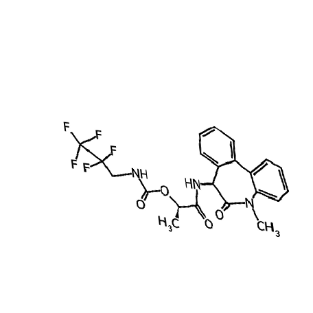 C[C@@H](OC(=O)NCC(F)(F)C(F)(F)F)C(=O)NC1C(=O)N(C)c2ccccc2-c2ccccc21